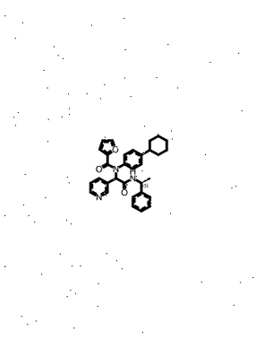 C[C@H](NC(=O)C(c1cccnc1)N(C(=O)c1ccco1)c1ccc(C2CCCCC2)cc1)c1ccccc1